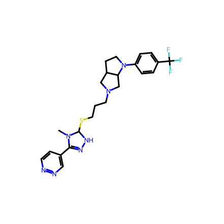 CN1C(c2ccnnc2)=NNC1SCCCN1CC2CCN(c3ccc(C(F)(F)F)cc3)C2C1